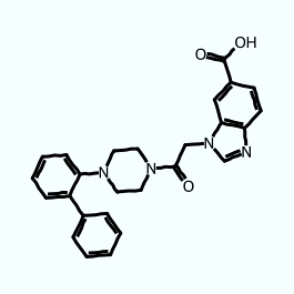 O=C(O)c1ccc2ncn(CC(=O)N3CCN(c4ccccc4-c4ccccc4)CC3)c2c1